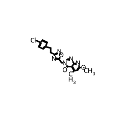 COc1cc(C)c2c(=O)n(Cc3nc(CCc4ccc(Cl)cc4)no3)cnc2n1